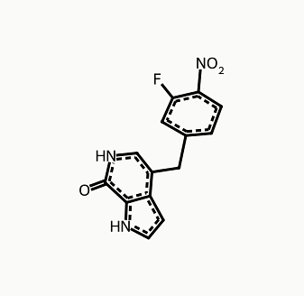 O=c1[nH]cc(Cc2ccc([N+](=O)[O-])c(F)c2)c2cc[nH]c12